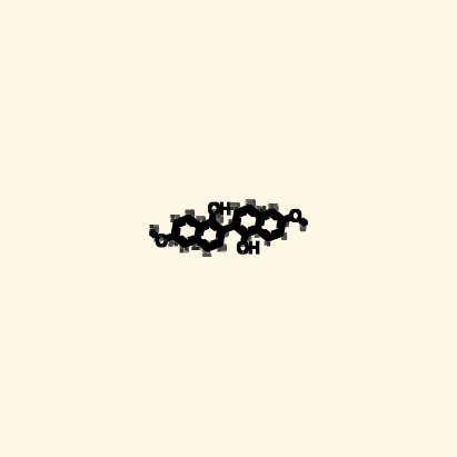 COc1ccc2c(O)c(-c3ccc4cc(OC)ccc4c3O)ccc2c1